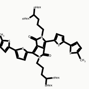 CCCCCCC(CCCCCC)CCCN1C(=O)C2=C(c3ccc(-c4ccc(C)s4)s3)N(CCCC(CCCCCC)CCCCCC)C(=O)C2=C1c1ccc(-c2ccc(C)s2)s1